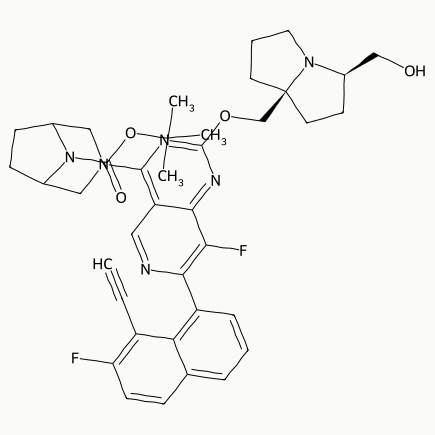 C#Cc1c(F)ccc2cccc(-c3ncc4c(N5CC6CCC(C5)N6C(=O)OC(C)(C)C)nc(OC[C@@]56CCCN5[C@@H](CO)CC6)nc4c3F)c12